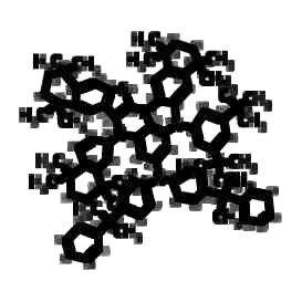 CC(C)(C)c1cc(N2c3cc4c(cc3B3c5sc6cc7c(cc6c5N(c5ccc6c(c5)C(C)(C)CCC6(C)C)c5cc(N(c6ccc(C(C)(C)c8ccccc8)cc6)c6ccc(C(C)(C)c8ccccc8)cc6)cc2c53)C(C)(C)CCC7(C)C)C(C)(C)CCC4(C)C)cc(C(C)(C)C)c1